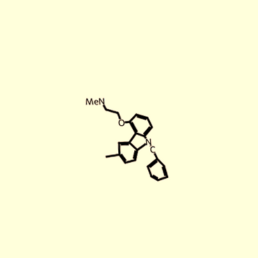 CNCCOc1cccc2c1c1cc(C)ccc1n2Cc1ccccc1